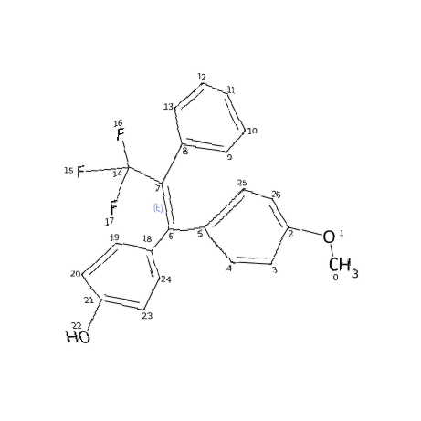 COc1ccc(/C(=C(\c2ccccc2)C(F)(F)F)c2ccc(O)cc2)cc1